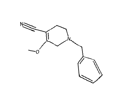 COC1=C(C#N)CCN(Cc2ccccc2)C1